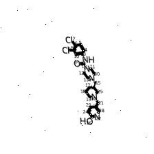 O=C(Nc1ccc(Cl)c(Cl)c1)N1CCN(C[C@@H]2CCCN(Cc3ccc(O)nc3)C2)CC1